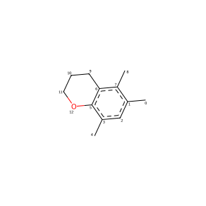 Cc1cc(C)c2c(c1C)CCCO2